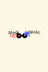 COc1cc(-c2ccc3nc(NC(C)=O)nn3c2)ccc1O